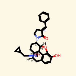 O=C1/C(=C/c2ccccc2)CCN1[C@H]1CC[C@@]2(O)[C@H]3Cc4ccc(O)c5c4[C@@]2(CCN3CC2CC2)[C@H]1O5